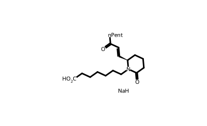 CCCCCC(=O)C=C[C@H]1CCCC(=O)N1CCCCCCC(=O)O.[NaH]